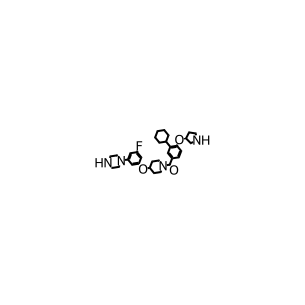 O=C(c1ccc(O[C@H]2CCNC2)c(C2CCCCC2)c1)N1CCC(Oc2cc(F)cc(N3CCNCC3)c2)CC1